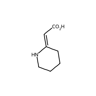 O=C(O)C=C1CCCCN1